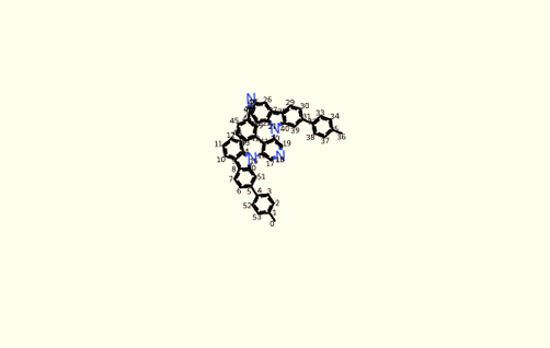 Cc1ccc(-c2ccc3c4ccccc4n(-c4cncc(-n5c6ccccc6c6ccc(-c7ccc(C)cc7)cc65)c4-c4cccc(C#N)c4)c3c2)cc1